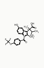 Cc1c([C@](C)(C(=O)O)C(C)C)c2cc(O)ccc2n1C(=O)c1ccc(OC(F)(F)F)cc1